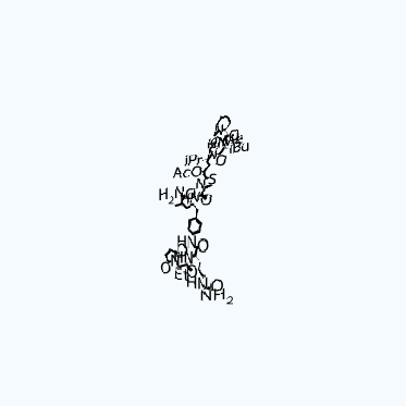 CCC(C(=O)N[C@@H](CCCNC(N)=O)C(=O)Nc1ccc(C[C@@H](CC(C)C(N)=O)NC(=O)c2csc([C@@H](C[C@H](C(C)C)N(COC)C(=O)[C@@H](NC(=O)[C@H]3CCCCN3C)[C@@H](C)CC)OC(C)=O)n2)cc1)N1C(=O)C=CC1=O